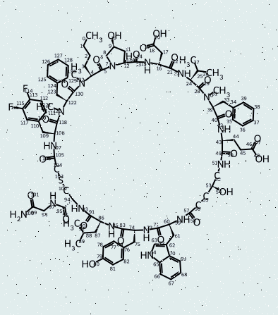 CCCC[C@H]1C(=O)N2C[C@@H](O)C[C@@H]2C(=O)N[C@@H](CC(=O)O)C(=O)N[C@@H](C(C)C)C(=O)N(C)[C@@H](Cc2ccccc2)C(=O)N[C@@H](CCC(=O)O)C(=O)NC[C@@H](O)CCC(=O)N[C@@H](Cc2c[nH]c3ccccc23)C(=O)N[C@@H](Cc2ccc(O)cc2)C(=O)N[C@@H](CC(C)C)C(=O)N[C@H](C(=O)NCC(N)=O)CSCC(=O)N[C@@H](Cc2ccc(F)c(F)c2)C(=O)N(C)[C@@H](Cc2ccccc2)C(=O)N1C